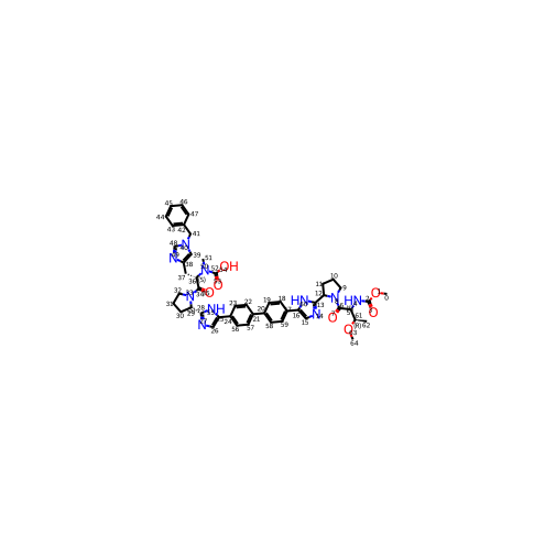 COC(=O)N[C@H](C(=O)N1CCCC1c1ncc(-c2ccc(-c3ccc(-c4cnc([C@@H]5CCCN5C(=O)[C@H](Cc5cn(Cc6ccccc6)cn5)N(C)C(=O)O)[nH]4)cc3)cc2)[nH]1)[C@@H](C)OC